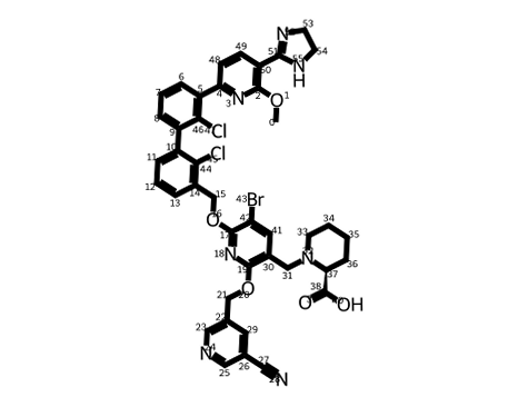 COc1nc(-c2cccc(-c3cccc(COc4nc(OCc5cncc(C#N)c5)c(CN5CCCC[C@H]5C(=O)O)cc4Br)c3Cl)c2Cl)ccc1C1=NCCN1